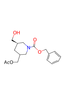 CC(=O)OCC1C[C@@H](CO)CN(C(=O)OCc2ccccc2)C1